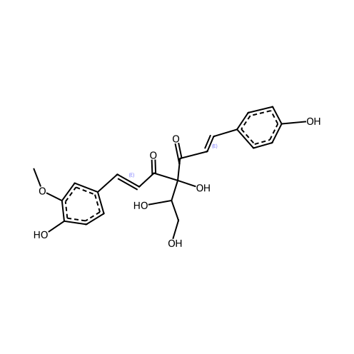 COc1cc(/C=C/C(=O)C(O)(C(=O)/C=C/c2ccc(O)cc2)C(O)CO)ccc1O